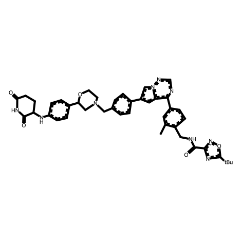 Cc1cc(-c2ncnn3cc(-c4ccc(CN5CCOC(c6ccc(NC7CCC(=O)NC7=O)cc6)C5)cc4)cc23)ccc1CNC(=O)c1noc(C(C)(C)C)n1